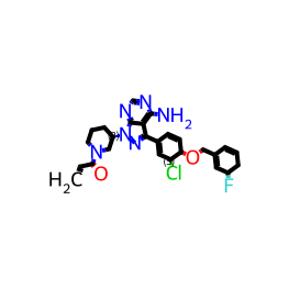 C=CC(=O)N1CCC[C@@H](n2nc(C3=C[C@H](Cl)C(OCC4=CC(F)CC=C4)C=C3)c3c(N)ncnc32)C1